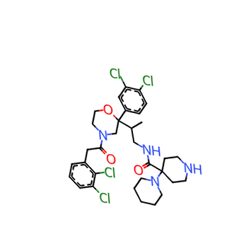 CC(CNC(=O)C1(N2CCCCC2)CCNCC1)C1(c2ccc(Cl)c(Cl)c2)CN(C(=O)Cc2cccc(Cl)c2Cl)CCO1